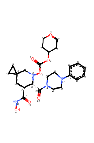 O=C(OC1CCOCC1)ON1CC2(CC2)C[C@H](C(=O)NO)[C@H]1C(=O)N1CCN(c2ccccc2)CC1